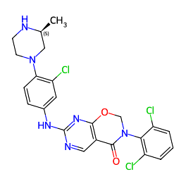 C[C@H]1CN(c2ccc(Nc3ncc4c(n3)OCN(c3c(Cl)cccc3Cl)C4=O)cc2Cl)CCN1